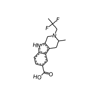 CC1Cc2c([nH]c3ccc(C(=O)O)cc23)CN1CC(C)(F)F